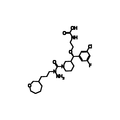 NN(CCCC1CCCCOC1)C(=O)N1CCCC([C@@H](OCCNC(=O)O)c2cc(F)cc(Cl)c2)C1